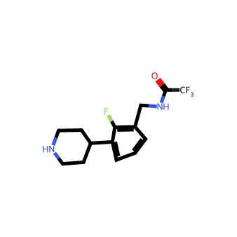 O=C(NCc1cccc(C2CCNCC2)c1F)C(F)(F)F